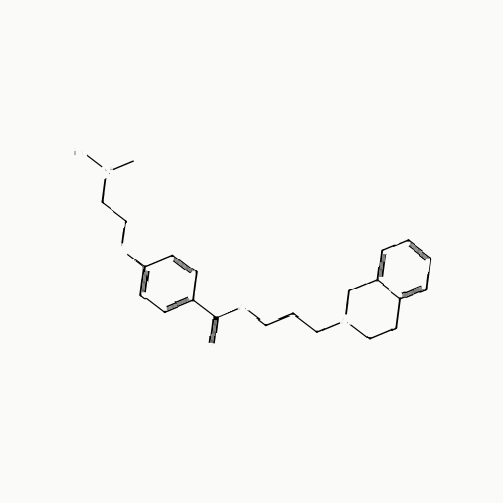 CC(C)N(C)CCOc1ccc(C(=O)NCCCN2CCc3ccccc3C2)cc1